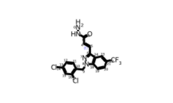 NNC(=O)/C=C/c1nn(Cc2ccc(Cl)cc2Cl)c2ccc(C(F)(F)F)cc12